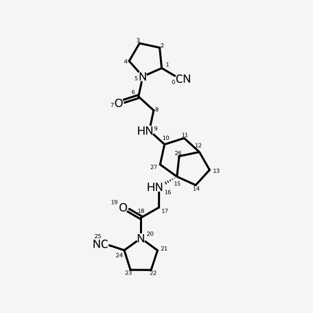 N#CC1CCCN1C(=O)CNC1CC2CC[C@](NCC(=O)N3CCCC3C#N)(C2)C1